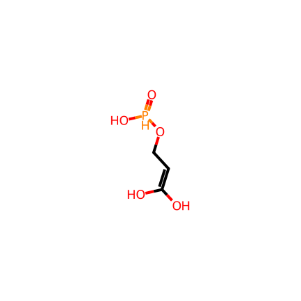 O=[PH](O)OCC=C(O)O